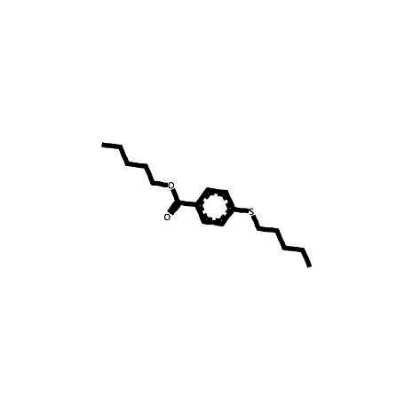 CCCCCOC(=O)c1ccc(SCCCCC)cc1